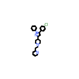 Clc1ccc(-c2cc(C3CCN(CCc4ccccn4)CC3)nn2-c2ccccc2)cc1